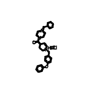 Cl.Cl.O=C(C1CCN(Cc2ccc(Oc3ccccc3)cc2)CC1)N1CCN(Cc2ccccc2)CC1